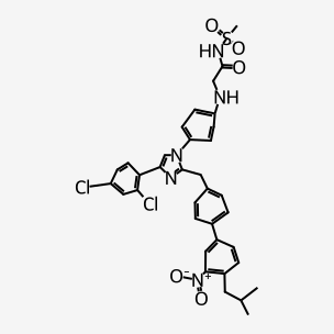 CC(C)Cc1ccc(-c2ccc(Cc3nc(-c4ccc(Cl)cc4Cl)cn3-c3ccc(NCC(=O)NS(C)(=O)=O)cc3)cc2)cc1[N+](=O)[O-]